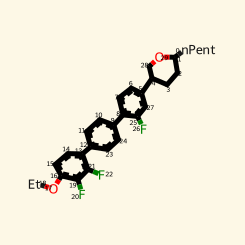 CCCCCC1CCC(c2ccc(-c3ccc(-c4ccc(OCC)c(F)c4F)cc3)c(F)c2)CO1